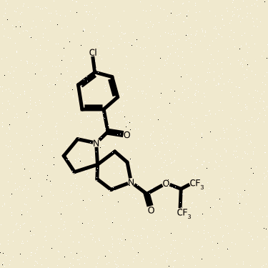 O=C(OC(C(F)(F)F)C(F)(F)F)N1CCC2(CCCN2C(=O)c2ccc(Cl)cc2)CC1